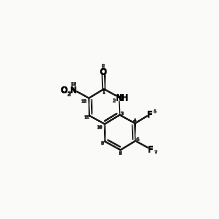 O=c1[nH]c2c(F)c(F)ccc2cc1[N+](=O)[O-]